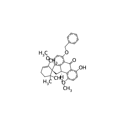 COc1ccc(O)c2c1[C@H]1C[C@@]3(C(C)=CCCC3(C)C)c3c(OC)cc(OCc4ccccc4)c(c31)C2=O